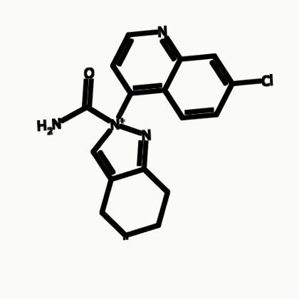 NC(=O)[N+]1(c2ccnc3cc(Cl)ccc23)C=C2C[C]CCC2=N1